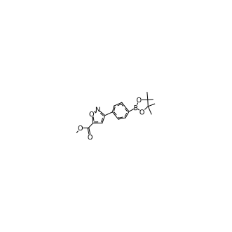 COC(=O)c1cc(-c2ccc(B3OC(C)(C)C(C)(C)O3)cc2)no1